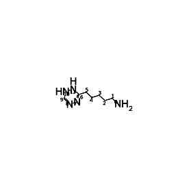 NCCCCCC1=NN=CNN1